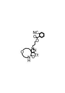 CCc1nn(CCCOC(=O)c2ccccc2C#N)c2c1C(=O)NCCCOCCC2